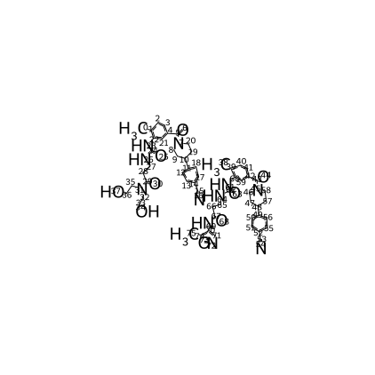 Cc1ccc(C(=O)N2CCC(c3ccc(C#N)cc3)CC2)cc1NC(=O)NCCC(=O)N(CCO)CCO.Cc1ccc(C(=O)N2CCC(c3ccc(C#N)cc3)CC2)cc1NC(=O)NCCC(=O)Nc1cnoc1C